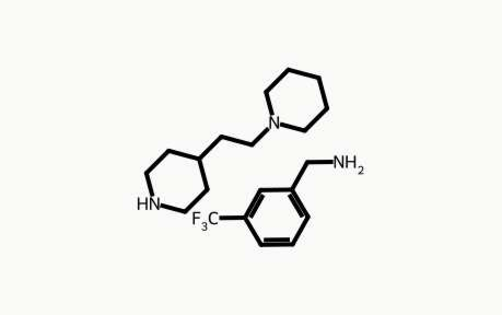 C1CCN(CCC2CCNCC2)CC1.NCc1cccc(C(F)(F)F)c1